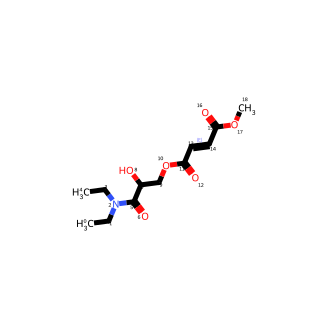 CCN(CC)C(=O)C(O)COC(=O)/C=C/C(=O)OC